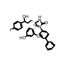 O=C1N[C@@H](CCC(O)c2ccc(F)cc2)[C@@H](c2ccc(O)cc2O)N1c1ccc(-c2ccccc2)cc1